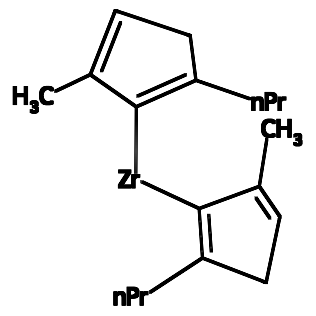 CCCC1=[C]([Zr][C]2=C(CCC)CC=C2C)C(C)=CC1